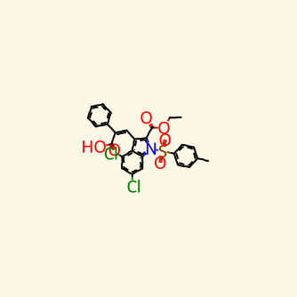 CCOC(=O)c1c(/C=C(\C(=O)O)c2ccccc2)c2c(Cl)cc(Cl)cc2n1S(=O)(=O)c1ccc(C)cc1